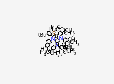 CC(C)(C)c1ccc2sc3c(c2c1)N(c1ccc2ccccc2c1)c1cc(N(c2ccc([Si](C)(C)C)cc2)c2ccc([Si](C)(C)C)cc2)cc2c1B3c1cc3c(cc1N2c1ccc2c(c1)C(C)(C)CCC2(C)C)C(C)(C)CCC3(C)C